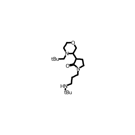 CC(C)(C)CN1CCOCC1C1CCN(CCCNC(C)(C)C)C1=O